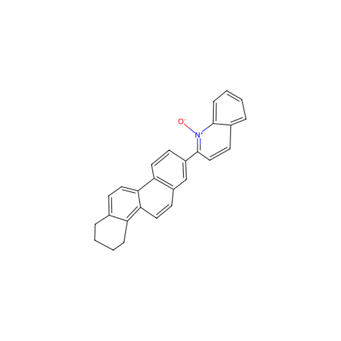 [O-][n+]1c(-c2ccc3c(ccc4c5c(ccc43)CCCC5)c2)ccc2ccccc21